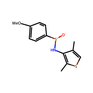 COc1ccc([S+]([O-])Nc2c(C)csc2C)cc1